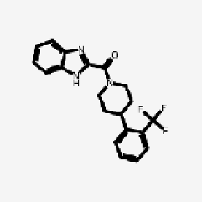 O=C(c1nc2ccccc2[nH]1)N1CCC(c2ccccc2C(F)(F)F)CC1